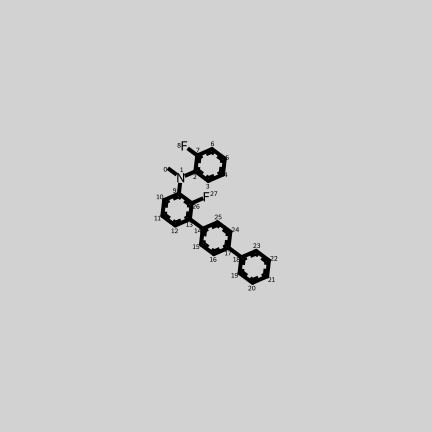 CN(c1ccccc1F)c1cccc(-c2ccc(-c3ccccc3)cc2)c1F